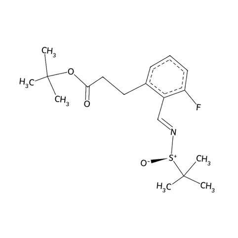 CC(C)(C)OC(=O)CCc1cccc(F)c1/C=N/[S@+]([O-])C(C)(C)C